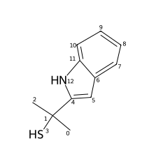 CC(C)(S)c1cc2ccccc2[nH]1